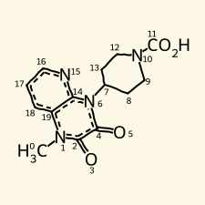 Cn1c(=O)c(=O)n(C2CCN(C(=O)O)CC2)c2ncccc21